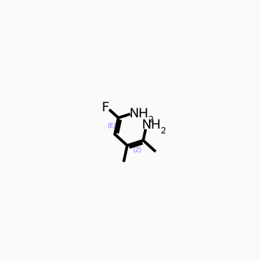 C/C(N)=C(C)/C=C(\N)F